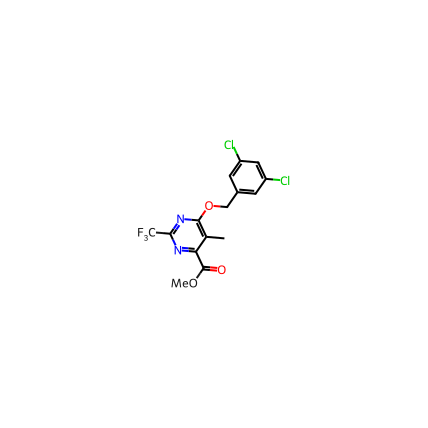 COC(=O)c1nc(C(F)(F)F)nc(OCc2cc(Cl)cc(Cl)c2)c1C